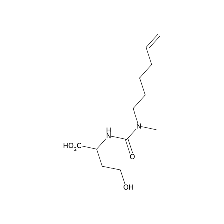 C=CCCCCN(C)C(=O)NC(CCO)C(=O)O